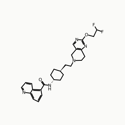 O=C(N[C@H]1CC[C@H](CCN2CCc3nc(OCC(F)F)ncc3C2)CC1)c1cccc2ncccc12